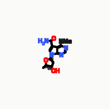 CNc1ncnc2c1c(C(N)=O)cn2[C@H]1C[C@H](O)[C@@H](C)O1